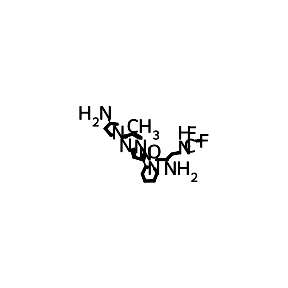 Cc1cn2nc([C@@H]3CCCCN3C(=O)C(N)CCNCC(F)F)cc2nc1N1CC[C@H](N)C1